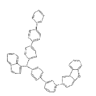 c1ccc(-c2ccc(-c3ccc(C(c4ccc(-c5cccc(-c6ccc7oc8ccccc8c7c6)c5)cc4)c4cccc5ccccc45)cc3)cc2)cc1